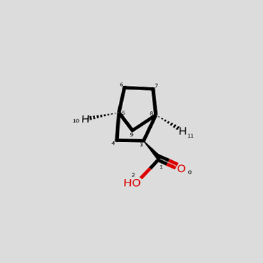 O=C(O)[C@H]1C[C@H]2CC[C@@H]1C2